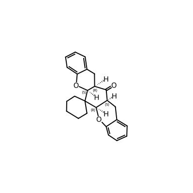 O=C1[C@H]2Cc3ccccc3O[C@H]2C2(CCCCC2)[C@H]2Oc3ccccc3C[C@@H]12